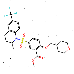 COC(=O)c1cc(S(=O)(=O)N2c3ccc(C(F)(F)F)cc3CCC2C)ccc1OCC1CCOCC1